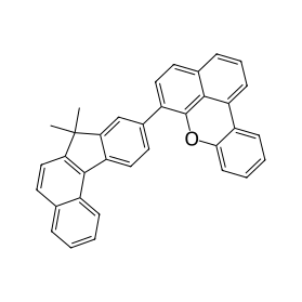 CC1(C)c2cc(-c3ccc4cccc5c4c3Oc3ccccc3-5)ccc2-c2c1ccc1ccccc21